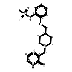 CS(=O)(=O)Nc1ccccc1OCC1CCN(Cc2ncc[nH]c2=O)CC1